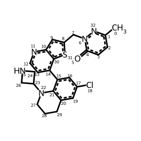 Cc1ccc(=O)n(Cc2cc3nccc(-c4cc(Cl)cc5c4N(C4CNC4)CCC5)c3s2)n1